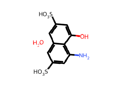 Nc1cc(S(=O)(=O)O)cc2cc(S(=O)(=O)O)cc(O)c12.O